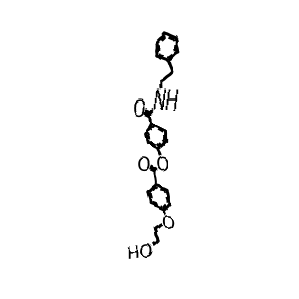 O=C(NCCc1ccccc1)c1ccc(OC(=O)c2ccc(OCCO)cc2)cc1